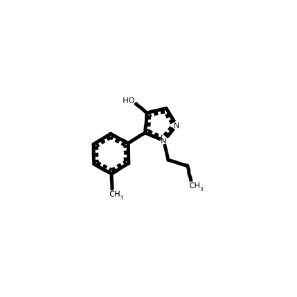 CCCn1ncc(O)c1-c1cccc(C)c1